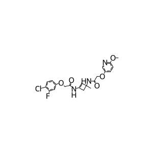 COc1ccc(OCC(=O)NC2(C)C=C(NC(=O)COc3ccc(Cl)c(F)c3)C2)cn1